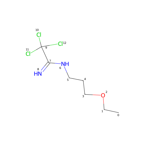 CCOCCCNC(=N)C(Cl)(Cl)Cl